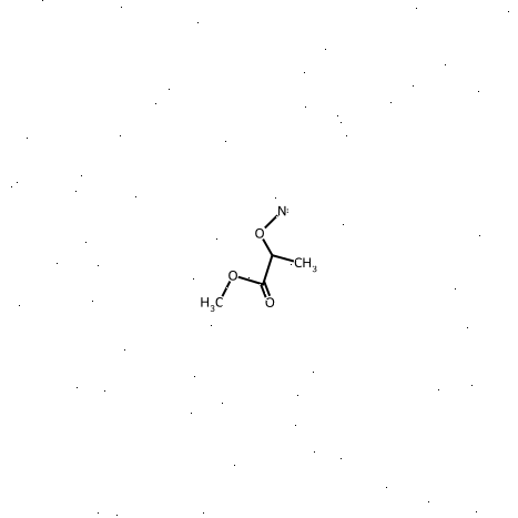 COC(=O)C(C)O[N]